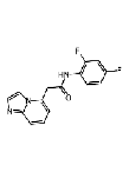 O=C(Cc1cccc2nccn12)Nc1ccc(F)cc1F